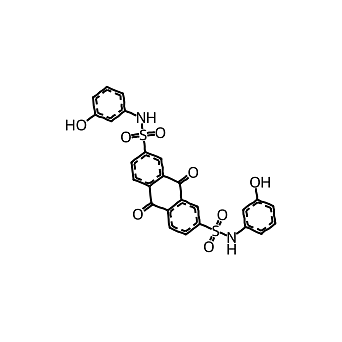 O=C1c2ccc(S(=O)(=O)Nc3cccc(O)c3)cc2C(=O)c2cc(S(=O)(=O)Nc3cccc(O)c3)ccc21